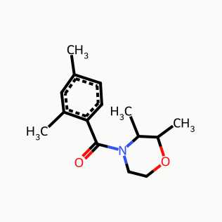 Cc1ccc(C(=O)N2CCOC(C)C2C)c(C)c1